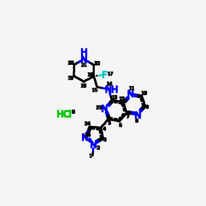 Cl.Cn1cc(-c2cc3nccnc3c(NC[C@@]3(F)CCCNC3)n2)cn1